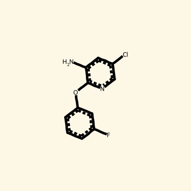 Nc1cc(Cl)cnc1Oc1cccc(F)c1